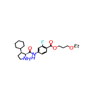 CCOCCCOC(=O)c1ccc(NC(=O)[C@H]2NCC[C@H]2C2CCCCC2)cc1F